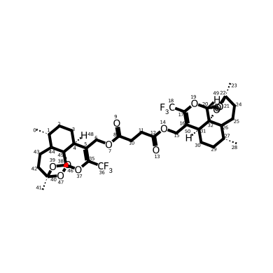 C[C@@H]1CC[C@H]2C(COC(=O)CCC(=O)OCC3=C(C(F)(F)F)O[C@@H]4O[C@]5(C)CCC6[C@H](C)CC[C@@H]3[C@]64OO5)=C(C(F)(F)F)OC3O[C@]4(C)CCC1[C@]32OO4